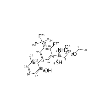 CCOC(=O)C[C@](N)(S)c1cc(-c2c(C)cccc2O)cc(C(F)(F)F)c1F